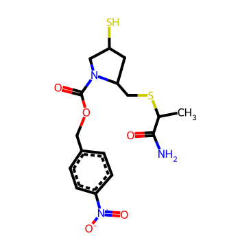 CC(SCC1CC(S)CN1C(=O)OCc1ccc([N+](=O)[O-])cc1)C(N)=O